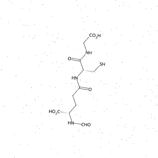 O=CN[C@@H](CCC(=O)N[C@@H](CS)C(=O)NCC(=O)O)C(=O)O